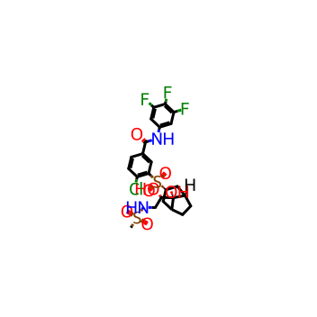 CS(=O)(=O)NCC(O)[C@@]1(O)C2CC[C@H]1C[C@H](S(=O)(=O)c1cc(C(=O)Nc3cc(F)c(F)c(F)c3)ccc1Cl)C2